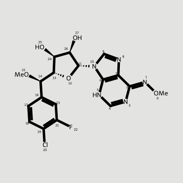 CO/N=c1\nc[nH]c2c1ncn2[C@@H]1O[C@H]([C@H](OC)c2ccc(Cl)c(F)c2)[C@@H](O)[C@H]1O